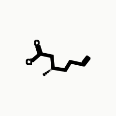 C=CCC[C@H](C)CC(=O)Cl